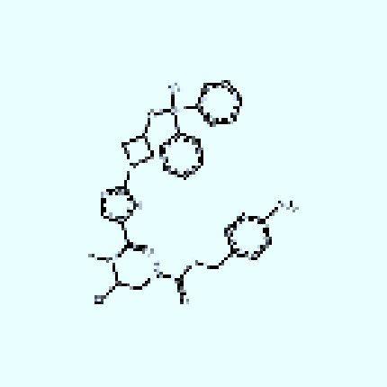 CCC(CNC(=O)OCc1ccc([N+](=O)[O-])cc1)N(C)C(=O)c1csc(N2CC(O[Si](c3ccccc3)(c3ccccc3)C(C)(C)C)C2)n1